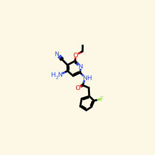 CCOc1nc(NC(=O)Cc2ccccc2F)cc(N)c1C#N